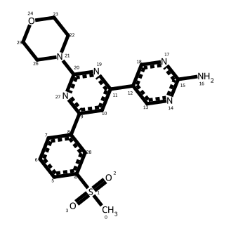 CS(=O)(=O)c1cccc(-c2cc(-c3cnc(N)nc3)nc(N3CCOCC3)n2)c1